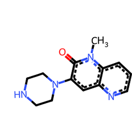 Cn1c(=O)c(N2CCNCC2)cc2ncccc21